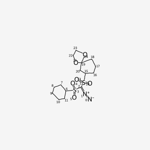 [N-]=[N+]=C(S(=O)(=O)C1CCCCC1)S(=O)(=O)C1CCCC2(C1)OCCO2